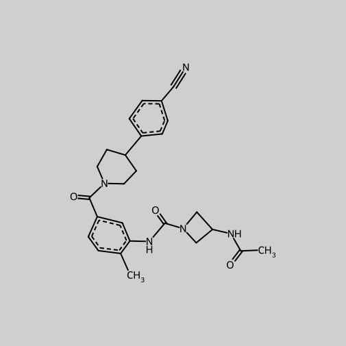 CC(=O)NC1CN(C(=O)Nc2cc(C(=O)N3CCC(c4ccc(C#N)cc4)CC3)ccc2C)C1